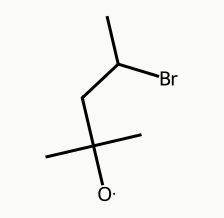 CC(Br)CC(C)(C)[O]